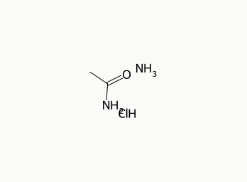 CC(N)=O.Cl.N